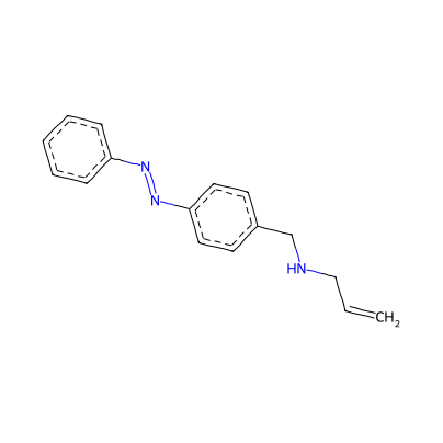 C=CCNCc1ccc(N=Nc2ccccc2)cc1